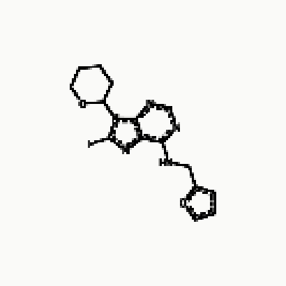 Ic1nc2c(NCc3ccco3)ncnc2n1C1CCCCO1